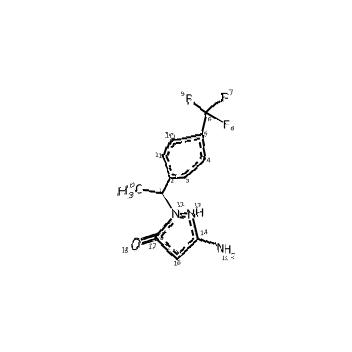 CC(c1ccc(C(F)(F)F)cc1)n1[nH]c(N)cc1=O